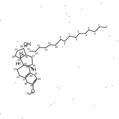 CCCCCCCCCCCCCCCC[C@]12CC[C@@H]3C4=C(CC[C@H]3[C@@H]1CC[C@@H]2O)CC(OC)=CC4